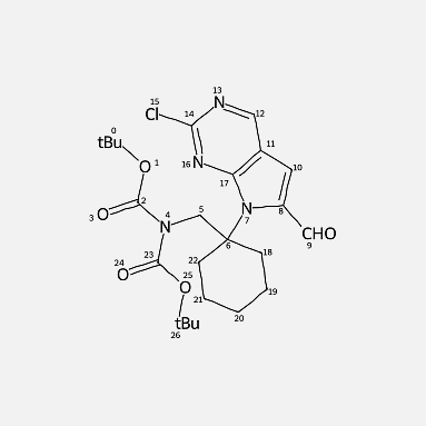 CC(C)(C)OC(=O)N(CC1(n2c(C=O)cc3cnc(Cl)nc32)CCCCC1)C(=O)OC(C)(C)C